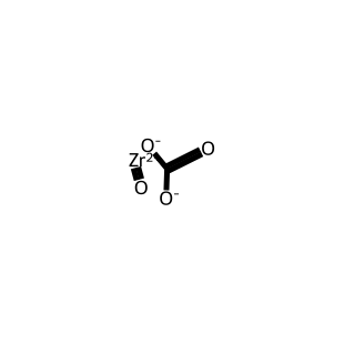 O=C([O-])[O-].[O]=[Zr+2]